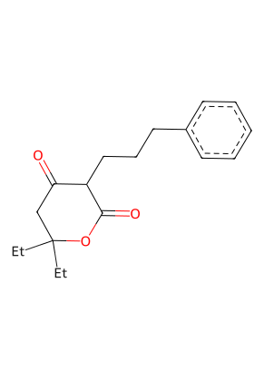 CCC1(CC)CC(=O)C(CCCc2ccccc2)C(=O)O1